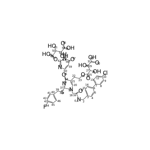 CN(Cc1ccc(-c2ccc(Cl)cc2)cc1)C(=O)Cn1cc(CCOC(=O)C(O)C(O)C(=O)O)c(=O)nc1SCc1ccc(F)cc1.O=C(O)C(O)C(O)C(=O)O.O=c1ccnc[nH]1